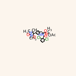 CC(=O)OC(C)OC(=O)[C@H](Cc1ccc(-c2c(C)n(C)c(=O)n(C)c2=O)cc1)NC(=O)c1c(Cl)cccc1Cl